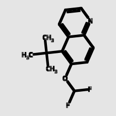 CC(C)(C)c1c(OC(F)F)ccc2ncccc12